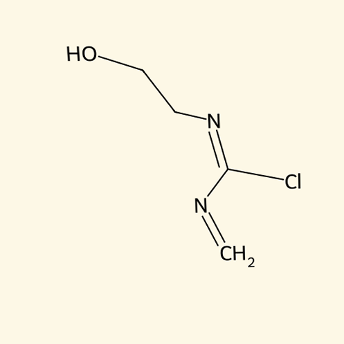 C=N/C(Cl)=N\CCO